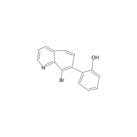 Oc1ccccc1-c1ccc2cccnc2c1Br